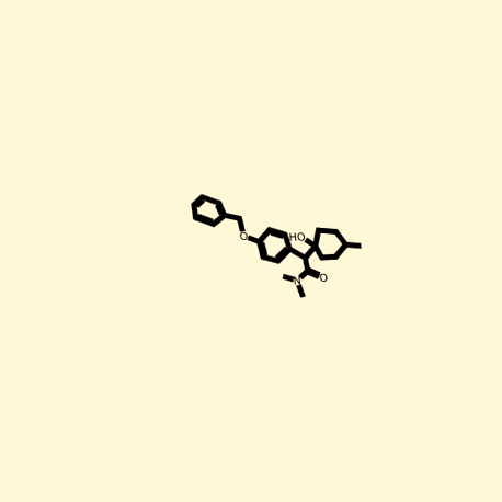 CC1CCC(O)(C(C(=O)N(C)C)c2ccc(OCc3ccccc3)cc2)CC1